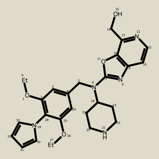 CCOc1cc(CN(c2nc3ccnc(CO)c3o2)C2CCNCC2)cc(OCC)c1-n1cccc1